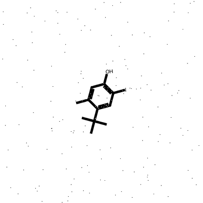 Cc1cc(O)c(I)cc1C(C)(C)C